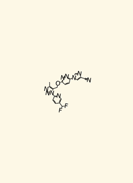 Cc1nnn(-c2ccc(C(F)F)cn2)c1COc1ccc(-n2cnc(C#N)c2)nn1